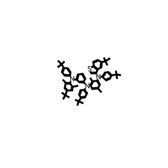 Cc1cc(N(c2ccc(C(C)(C)C)cc2)c2cccc(N(c3ccc(C(C)(C)C)cc3)c3c(C)cc(C(C)(C)C)cc3C)c2)c(C)c(N(c2ccc(C(C)(C)C)cc2)c2csc3ccc(C(C)(C)C)cc23)c1